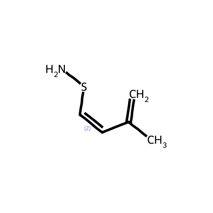 C=C(C)/C=C\SN